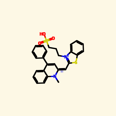 CN1/C(=C/c2sc3ccccc3[n+]2CCCS(=O)(=O)O)C=C(c2ccccc2)c2ccccc21